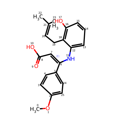 COc1ccc(/C(=C\C(=O)O)Nc2cccc(O)c2CC=C(C)C)cc1